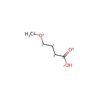 COCCCC(=O)O